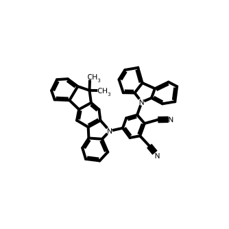 CC1(C)c2ccccc2-c2cc3c4ccccc4n(-c4cc(C#N)c(C#N)c(-n5c6ccccc6c6ccccc65)c4)c3cc21